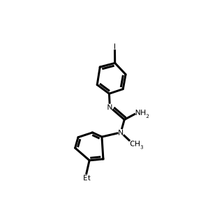 CCc1cccc(N(C)C(N)=Nc2ccc(I)cc2)c1